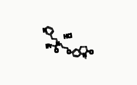 CC(C)C(=O)N(CCCOc1ccc2c(c1)CCC(=O)N2C)CCc1cccnc1.Cl